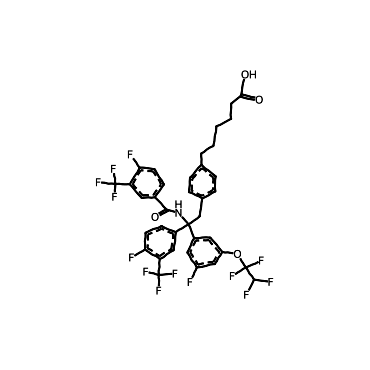 O=C(O)CCCCCc1ccc(CC(NC(=O)c2ccc(F)c(C(F)(F)F)c2)(c2cc(F)cc(OC(F)(F)C(F)F)c2)c2ccc(F)c(C(F)(F)F)c2)cc1